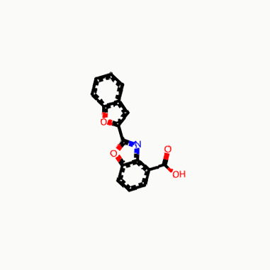 O=C(O)c1cccc2oc(-c3cc4ccccc4o3)nc12